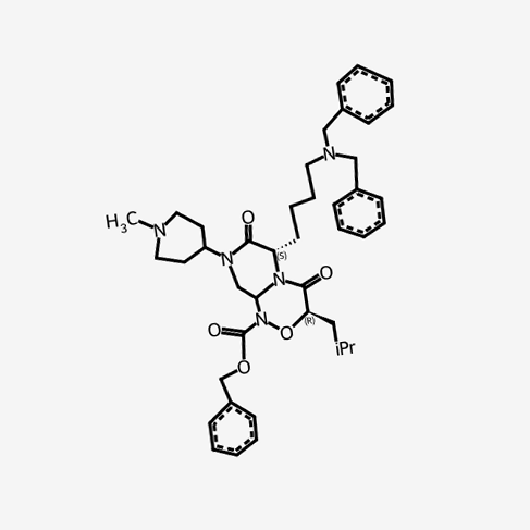 CC(C)C[C@H]1ON(C(=O)OCc2ccccc2)C2CN(C3CCN(C)CC3)C(=O)[C@H](CCCCN(Cc3ccccc3)Cc3ccccc3)N2C1=O